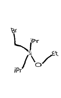 CCO[Si](CBr)(C(C)C)C(C)C